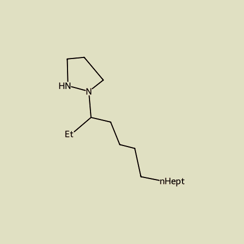 CCCCCCCCCCCC(CC)N1CCCN1